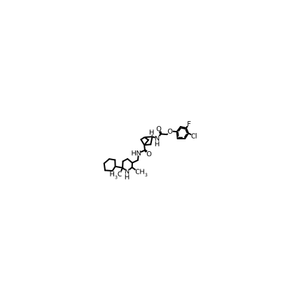 CC1NC(C)(C2CCCCC2)CCC1CNC(=O)C12CC(C1)[C@@H](NC(=O)COc1ccc(Cl)c(F)c1)C2